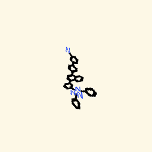 N#Cc1cccc(-c2ccc(-c3ccc(-c4cccc(-c5nc(-c6ccccc6)nc(-c6ccccc6)n5)c4)c4ccccc34)cc2)c1